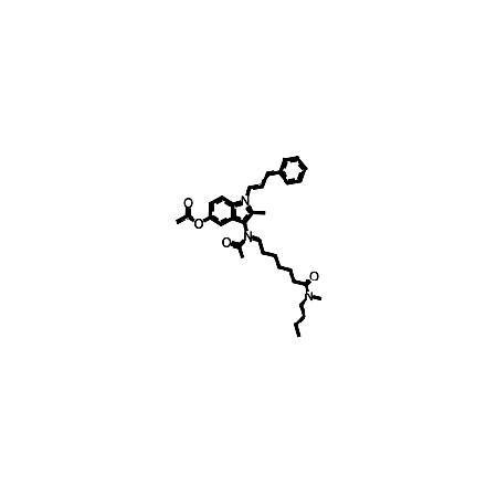 CCCCN(C)C(=O)CCCCCCN(C(C)=O)c1c(C)n(CCCc2ccccc2)c2ccc(OC(C)=O)cc12